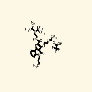 CCCCn1c(=O)c2c(OCCOCC)c(C(=O)NCCN(C(C)C)C(C)C)sc2c2ccccc21.O=C(O)C(F)(F)F